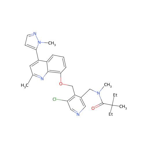 CCC(C)(CC)C(=O)N(C)Cc1cncc(Cl)c1COc1cccc2c(-c3ccnn3C)cc(C)nc12